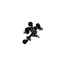 CC(C)(O)c1cnnn1[C@H]1C[C@@H](C(=O)NC(CCCCNC(=O)OCc2ccccc2)C(=O)C(N)=O)N(C(=O)[C@@H](CC2CCCCC2)NC(=O)c2cccc3[nH]ncc23)C1